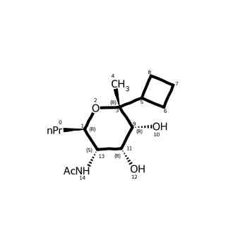 CCC[C@H]1O[C@](C)(C2CCC2)[C@H](O)[C@H](O)[C@@H]1NC(C)=O